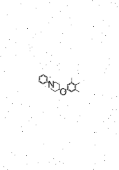 Cc1cc(OC2CCN(c3[c]cccc3)CC2)cc(C)c1C